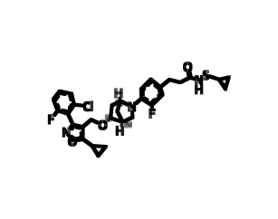 O=C(CCc1ccc(N2C[C@@H]3C[C@H]2C[C@H]3OCc2c(-c3c(F)cccc3Cl)noc2C2CC2)c(F)c1)NSC1CC1